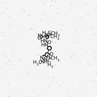 CNc1ncc2cc(-c3cccc(NC(=O)Nc4cc(C(C)(C)C)nn4-c4cnoc4)c3)c(=O)n(C(C)C)c2n1